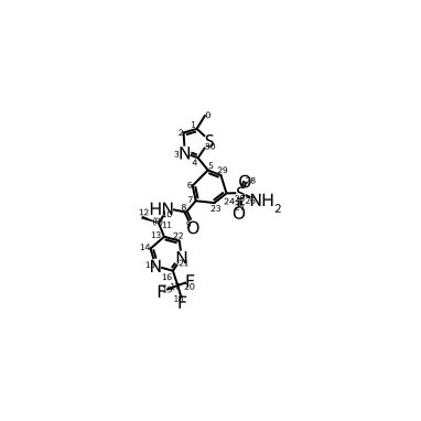 Cc1cnc(-c2cc(C(=O)N[C@H](C)c3cnc(C(F)(F)F)nc3)cc(S(N)(=O)=O)c2)s1